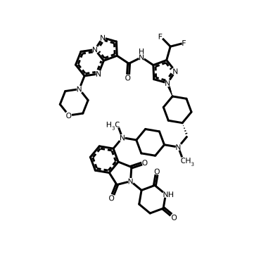 CN(C[C@H]1CC[C@H](n2cc(NC(=O)c3cnn4ccc(N5CCOCC5)nc34)c(C(F)F)n2)CC1)C1CCC(N(C)c2cccc3c2C(=O)N(C2CCC(=O)NC2=O)C3=O)CC1